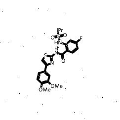 COc1ccc(-c2csc(NC(=O)c3ccc(F)cc3NS(=O)(=O)C(C)C)n2)cc1OC